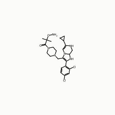 CC(C)(ON)C(=O)N1CCN(CC2=C(c3ccc(Cl)cc3Cl)NC3CNC(C4CC4)=CN23)CC1